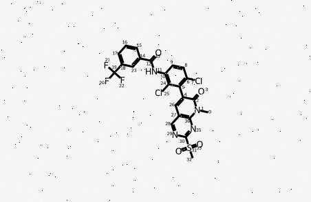 Cn1c(=O)c(-c2c(Cl)ccc(NC(=O)c3cccc(C(F)(F)F)c3)c2Cl)cc2cnc(S(C)(=O)=O)nc21